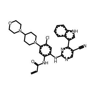 C=CC(=O)Nc1cc(N2CCC(N3CCOCC3)CC2)c(Cl)cc1Nc1ncc(C#N)c(-c2c[nH]c3ccccc23)n1